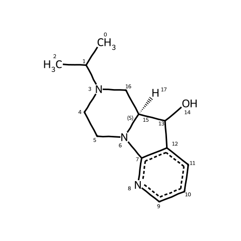 CC(C)N1CCN2c3ncccc3C(O)[C@@H]2C1